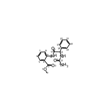 COC(=O)c1ccccc1NC(=O)C(NC(N)=O)c1ccccc1